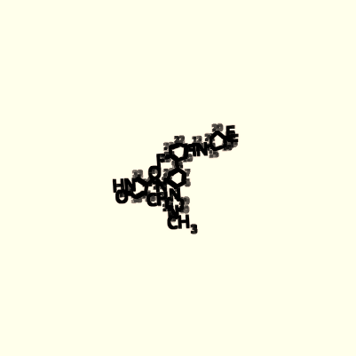 CN1CCN(c2ccc(-c3cc(CNC4CCC(F)(F)CC4)ccc3F)cc2NC(=O)c2c[nH]c(=O)cc2C(F)(F)F)CC1